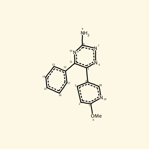 COc1ccc(-c2nnc(N)nc2-c2ccccc2)cn1